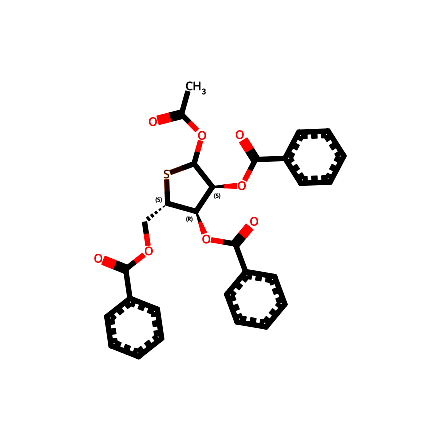 CC(=O)OC1S[C@@H](COC(=O)c2ccccc2)[C@H](OC(=O)c2ccccc2)[C@@H]1OC(=O)c1ccccc1